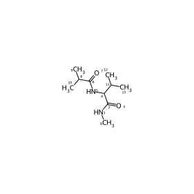 CNC(=O)C(NC(=O)C(C)C)C(C)C